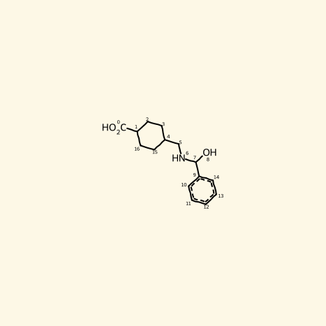 O=C(O)C1CCC(CNC(O)c2ccccc2)CC1